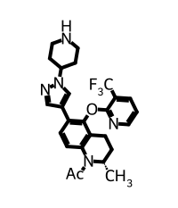 CC(=O)N1c2ccc(-c3cnn(C4CCNCC4)c3)c(Oc3ncccc3C(F)(F)F)c2CC[C@@H]1C